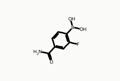 NC(=O)c1ccc(B(O)O)c(F)c1